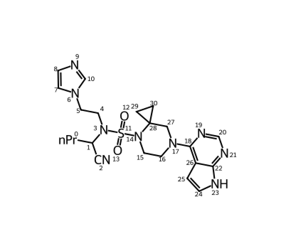 CCCC(C#N)N(CCn1ccnc1)S(=O)(=O)N1CCN(c2ncnc3[nH]ccc23)CC12CC2